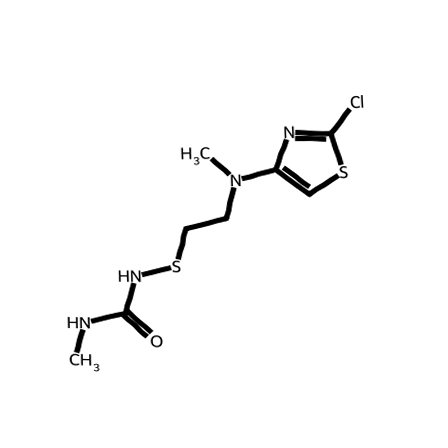 CNC(=O)NSCCN(C)c1csc(Cl)n1